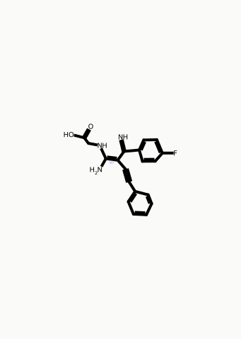 N=C(/C(C#Cc1ccccc1)=C(/N)NCC(=O)O)c1ccc(F)cc1